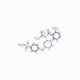 Cc1ccnc(N2CCN(Cc3ccc(S(C)(=O)=O)cc3)CC2)c1C(=O)OC(C)C